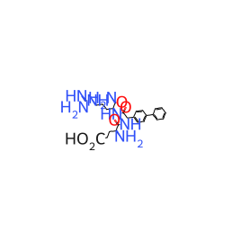 N=C(N)NCCCC(NC(=O)C(NC(=O)C(N)CCC(=O)O)c1ccc(-c2ccccc2)cc1)C(N)=O